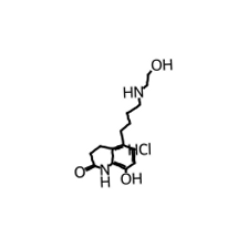 Cl.O=C1CCc2c(CCCCNCCO)ccc(O)c2N1